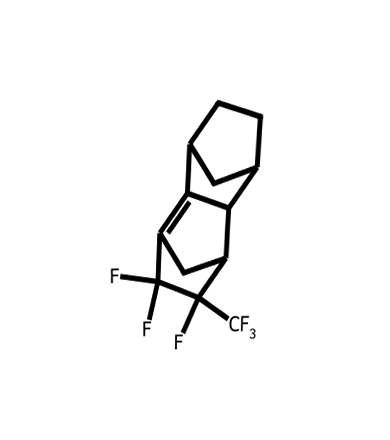 FC(F)(F)C1(F)C2CC(=C3C4CCC(C4)C32)C1(F)F